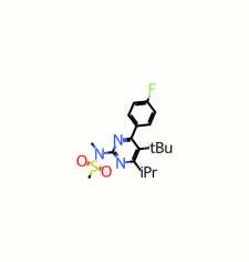 CC(C)c1nc(N(C)S(C)(=O)=O)nc(-c2ccc(F)cc2)c1C(C)(C)C